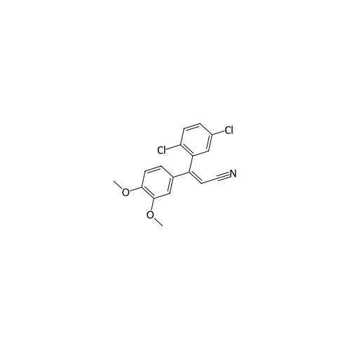 COc1ccc(C(=CC#N)c2cc(Cl)ccc2Cl)cc1OC